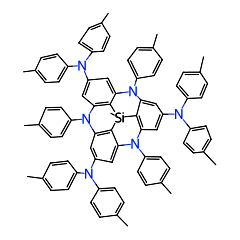 Cc1ccc(N(c2ccc(C)cc2)c2cc3c4c(c2)N(c2ccc(C)cc2)c2cc(N(c5ccc(C)cc5)c5ccc(C)cc5)cc5c2[Si]4(C)c2c(cc(N(c4ccc(C)cc4)c4ccc(C)cc4)cc2N5c2ccc(C)cc2)N3c2ccc(C)cc2)cc1